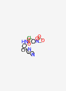 Cc1ccc(NS(=O)(=O)c2ccc(N3CCOCS3(=O)=O)cc2Cl)cc1-c1ccc2cnccc2n1